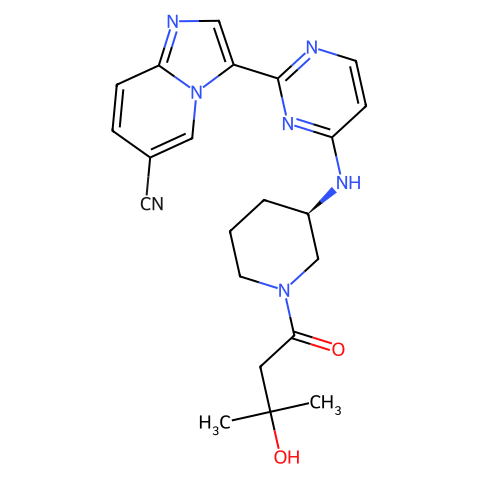 CC(C)(O)CC(=O)N1CCC[C@@H](Nc2ccnc(-c3cnc4ccc(C#N)cn34)n2)C1